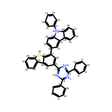 c1ccc(-c2nc(-c3ccccc3)nc(-c3cc(-c4ccc5c(c4)c4ccccc4n5-c4ccccc4)c4sc5ccccc5c4c3)n2)cc1